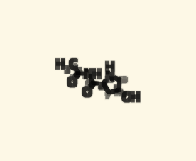 CC(=O)NC(=O)[C@@H]1C[C@@H](O)CN1